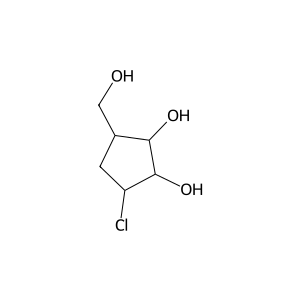 OCC1CC(Cl)C(O)C1O